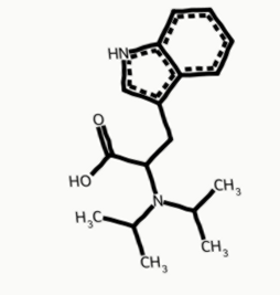 CC(C)N(C(C)C)C(Cc1c[nH]c2ccccc12)C(=O)O